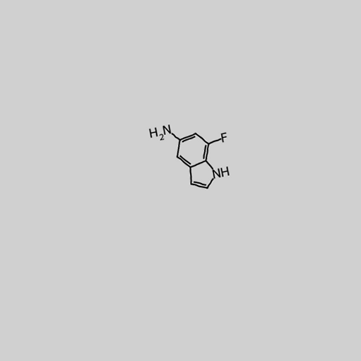 Nc1cc(F)c2[nH]ccc2c1